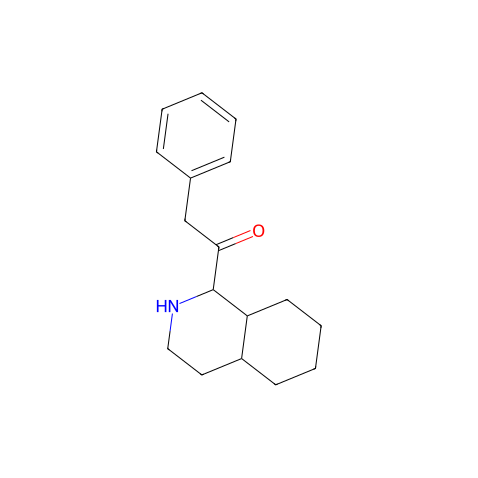 O=C(Cc1ccccc1)C1NCCC2CCCCC21